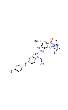 COc1cc(C(=O)N2C[C@H]3CC[C@H]2C3N)cc2nc(-c3cc4cc(/C=C/c5ccc(C(F)(F)F)cc5)ccc4n3CC3CC3)n(C)c12